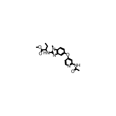 CCC(Nc1nc2cc(Oc3ccnc(NC(C)=O)c3)ccc2n1C)C(=O)OC